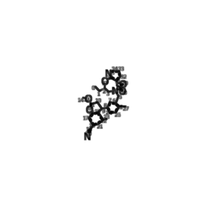 CC[C@@H]1CN(Cc2cc(C(CC(=O)OC)c3ccc(C#N)cc3C)ccc2C)S(=O)(=O)c2cccnc2O1